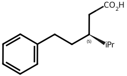 CC(C)[C@@H](CCc1ccccc1)CC(=O)O